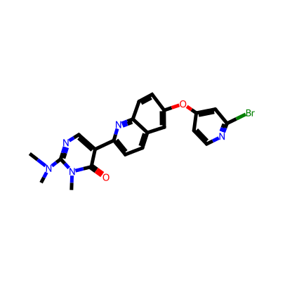 CN(C)c1ncc(-c2ccc3cc(Oc4ccnc(Br)c4)ccc3n2)c(=O)n1C